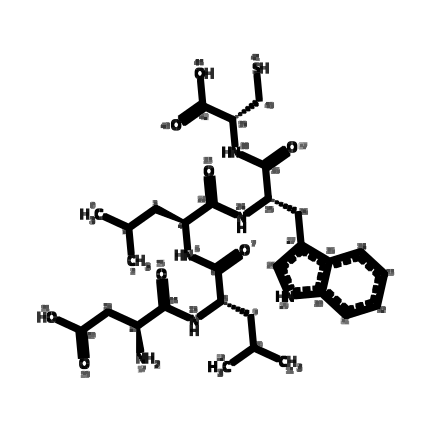 CC(C)C[C@H](NC(=O)[C@H](CC(C)C)NC(=O)[C@@H](N)CC(=O)O)C(=O)N[C@@H](Cc1c[nH]c2ccccc12)C(=O)N[C@@H](CS)C(=O)O